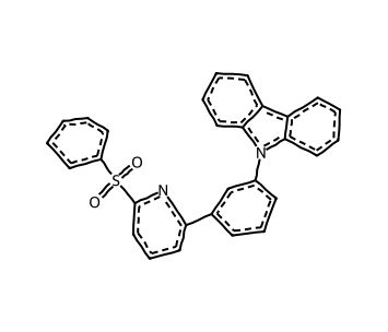 O=S(=O)(c1ccccc1)c1cccc(-c2cccc(-n3c4ccccc4c4ccccc43)c2)n1